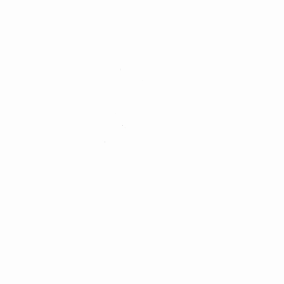 CC1(C)c2cc(-c3ccc(-c4nc(-c5cccc(-c6ccccc6)c5)cc(-c5cccc6ccccc56)n4)c4ccccc34)ccc2-c2ccc3ccccc3c21